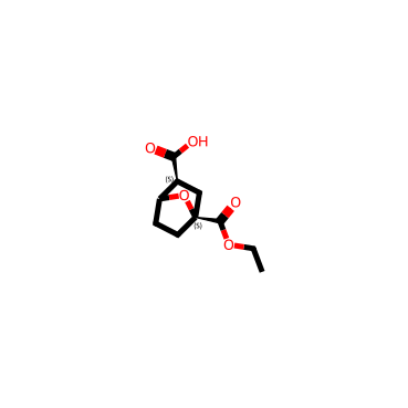 CCOC(=O)[C@@]12CCC(O1)[C@@H](C(=O)O)C2